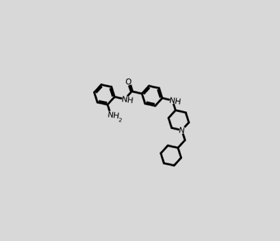 Nc1ccccc1NC(=O)c1ccc(NC2CCN(CC3CCCCC3)CC2)cc1